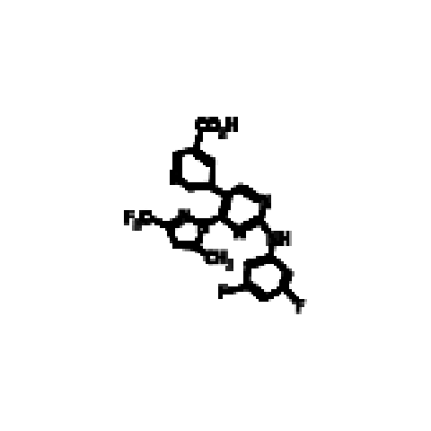 Cc1cc(C(F)(F)F)nn1-c1nc(Nc2cc(F)cc(F)c2)ncc1-c1cncc(C(=O)O)c1